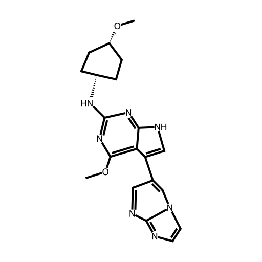 COc1nc(N[C@H]2CC[C@@H](OC)CC2)nc2[nH]cc(-c3cnc4nccn4c3)c12